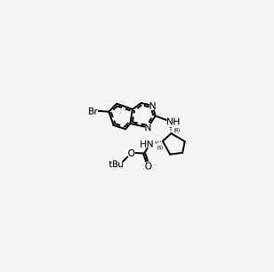 CC(C)(C)OC(=O)N[C@H]1CCC[C@H]1Nc1ncc2cc(Br)ccc2n1